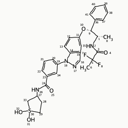 C[C@H](NC(=O)C(C)(F)F)[C@H](Oc1ccc2c(cnn2-c2cccc(C(=O)NC3CCS(O)(O)C3)c2)c1)c1ccccc1